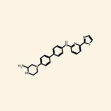 NC1CN(c2ccc(-c3ccc(Nc4cccc(-c5nccs5)n4)cc3)cc2)CCN1